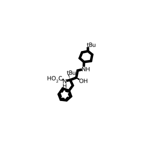 CC(C)(C)C1CCC(NC[C@@H](O)[C@@](Cc2ccccc2)(NC(=O)O)C(C)(C)C)CC1